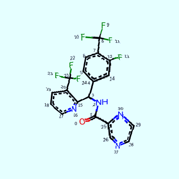 O=C(NC(c1ccc(C(F)(F)F)c(F)c1)c1ncccc1C(F)(F)F)c1cnccn1